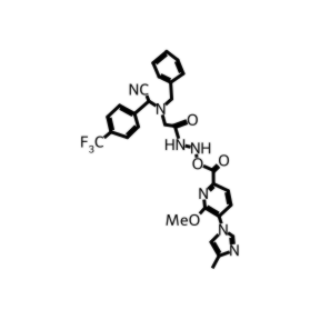 COc1nc(C(=O)ONNC(=O)CN(Cc2ccccc2)C(C#N)c2ccc(C(F)(F)F)cc2)ccc1-n1cnc(C)c1